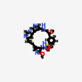 COc1ncc2cc1NS(=O)(=O)c1cccc(c1)C(=O)CNc1cncc(c1)-c1ncnc3cc-2sc13